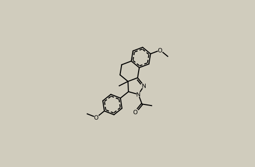 COc1ccc(C2N(C(C)=O)N=C3c4cc(OC)ccc4CCC32C)cc1